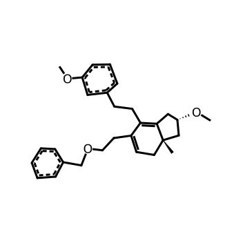 COc1cccc(CCC2=C3C[C@H](OC)C[C@]3(C)CC=C2CCOCc2ccccc2)c1